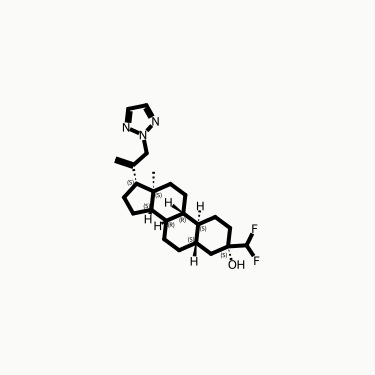 C=C(Cn1nccn1)[C@H]1CC[C@H]2[C@@H]3CC[C@H]4C[C@](O)(C(F)F)CC[C@@H]4[C@H]3CC[C@]12C